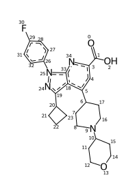 O=C(O)c1cc(C2CCN(C3CCOCC3)CC2)c2c(C3CCC3)nn(-c3ccc(F)cc3)c2n1